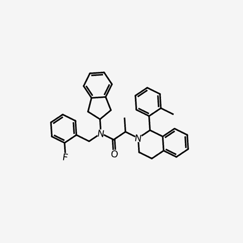 Cc1ccccc1C1c2ccccc2CCN1C(C)C(=O)N(Cc1ccccc1F)C1Cc2ccccc2C1